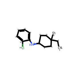 CCC1(CC#N)CCC(Nc2ccccc2Cl)CC1